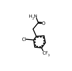 NC(=O)Cc1ccc(C(F)(F)F)cc1Cl